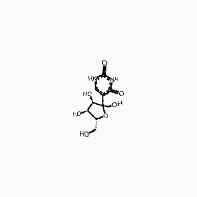 O=c1[nH]cc([C@]2(O)O[C@H](CO)[C@@H](O)[C@H]2O)c(=O)[nH]1